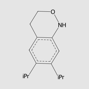 CC(C)c1cc2c(cc1C(C)C)NOCC2